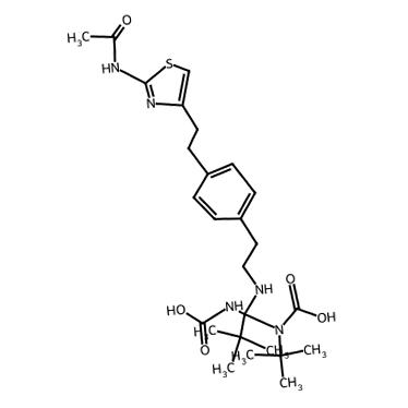 CC(=O)Nc1nc(CCc2ccc(CCNC(NC(=O)O)(N(C(=O)O)C(C)(C)C)C(C)(C)C)cc2)cs1